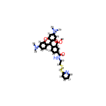 COC(=O)c1cc(C(=O)NCCSSc2ccccn2)ccc1-c1c2ccc(=[N+](C)C)cc-2oc2cc(N(C)C)ccc12